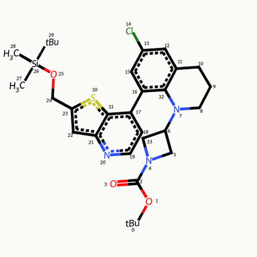 CC(C)(C)OC(=O)N1CC(N2CCCc3cc(Cl)cc(-c4ccnc5cc(CO[Si](C)(C)C(C)(C)C)sc45)c32)C1